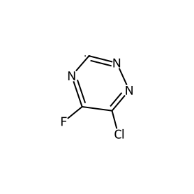 Fc1n[c]nnc1Cl